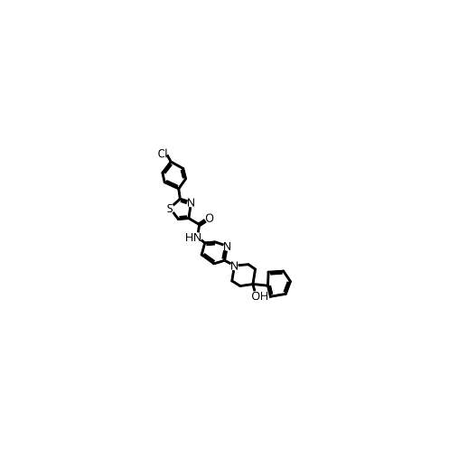 O=C(Nc1ccc(N2CCC(O)(c3ccccc3)CC2)nc1)c1csc(-c2ccc(Cl)cc2)n1